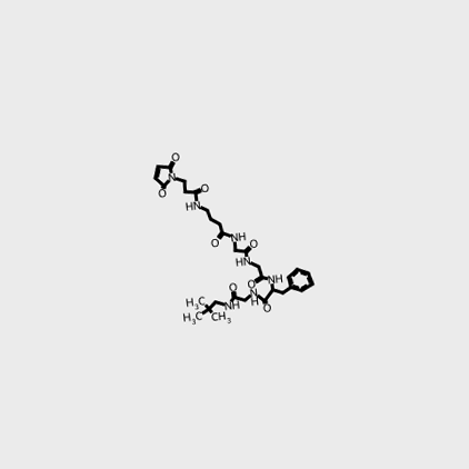 CC(C)(C)CNC(=O)CNC(=O)C(Cc1ccccc1)NC(=O)CNC(=O)CNC(=O)CCCNC(=O)CCN1C(=O)C=CC1=O